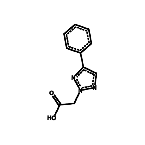 O=C(O)Cn1ncc(-c2ccccc2)n1